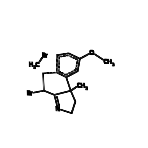 CBr.COc1ccc2c(c1)C1(C)CCN=C1C(Br)C2